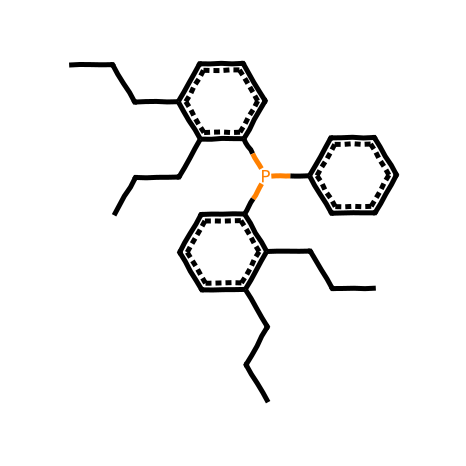 CCCc1cccc(P(c2ccccc2)c2cccc(CCC)c2CCC)c1CCC